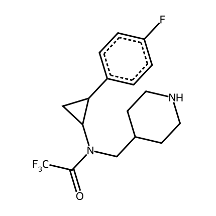 O=C(N(CC1CCNCC1)C1CC1c1ccc(F)cc1)C(F)(F)F